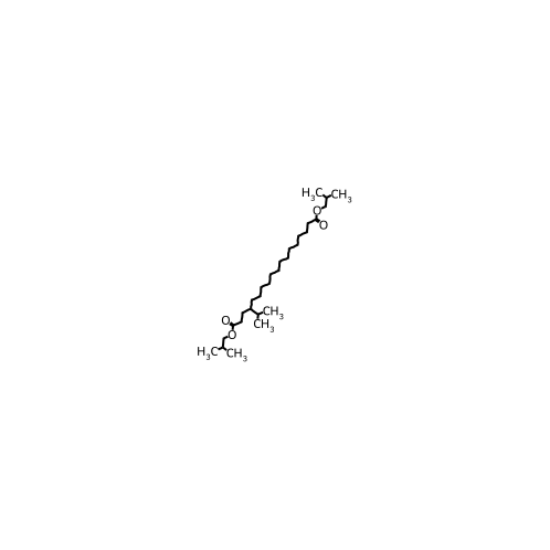 CC(C)COC(=O)CCCCCCCCCCCCCC(CCC(=O)OCC(C)C)C(C)C